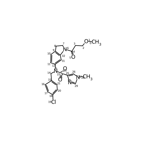 COCCC(=O)N1CCc2ccc(N(Cc3ccc(Cl)cc3)S(=O)(=O)c3cn(C)cn3)cc21